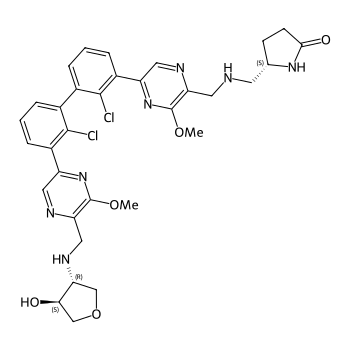 COc1nc(-c2cccc(-c3cccc(-c4cnc(CN[C@@H]5COC[C@H]5O)c(OC)n4)c3Cl)c2Cl)cnc1CNC[C@@H]1CCC(=O)N1